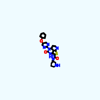 O=C(N[C@@H]1CCCNC1)c1sc2nccc3c2c1NC(=O)N3c1ncc(Oc2ccccc2)cn1